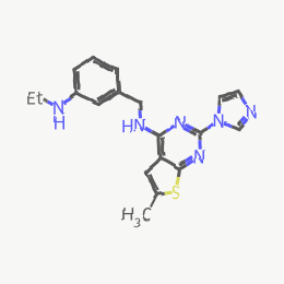 CCNc1cccc(CNc2nc(-n3ccnc3)nc3sc(C)cc23)c1